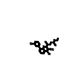 CCOC(=O)CCC(=O)c1nc2c(-c3cccc(Cl)c3)cccc2c(Br)c1O